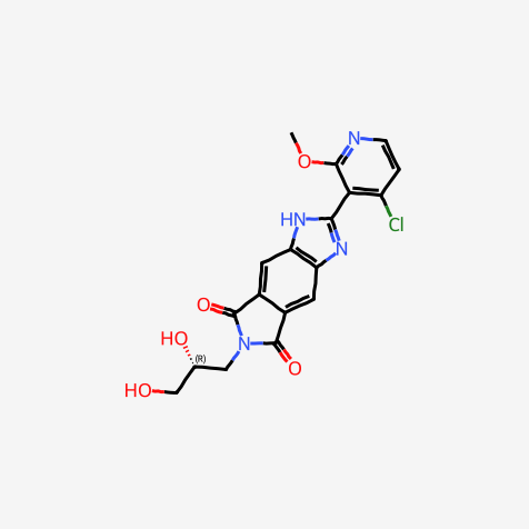 COc1nccc(Cl)c1-c1nc2cc3c(cc2[nH]1)C(=O)N(C[C@@H](O)CO)C3=O